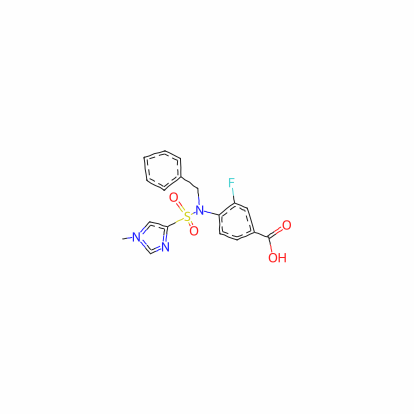 Cn1cnc(S(=O)(=O)N(Cc2ccccc2)c2ccc(C(=O)O)cc2F)c1